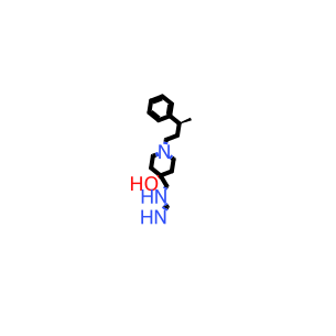 C[C@@H](CCN1CCC(O)(CNC=N)CC1)c1ccccc1